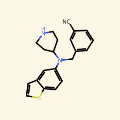 N#Cc1cccc(CN(c2ccc3sccc3c2)C2CCNCC2)c1